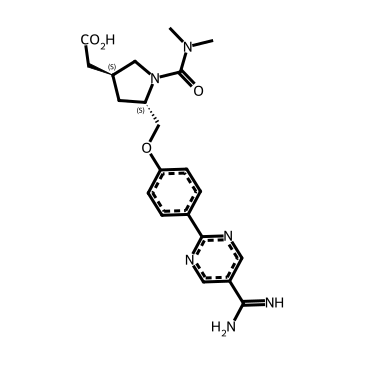 CN(C)C(=O)N1C[C@H](CC(=O)O)C[C@H]1COc1ccc(-c2ncc(C(=N)N)cn2)cc1